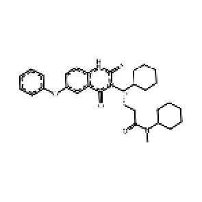 CN(C(=O)CC[C@@H](C1CCCCC1)n1c(=S)[nH]c2ccc(Oc3ccccc3)cc2c1=O)C1CCCCC1